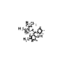 C=CC(C)N(CCC(c1ccccc1)c1cc(C)ccc1O)C(C)C